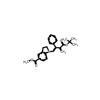 C=C(C(=O)OC(C)(C)C)/C(=C/N1CCc2cc(C(=O)OC)ccc21)c1ccccc1